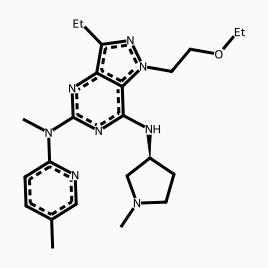 CCOCCn1nc(CC)c2nc(N(C)c3ccc(C)cn3)nc(N[C@H]3CCN(C)C3)c21